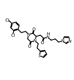 O=C(CC1C(=O)N(CCc2ccc(Cl)cc2Cl)CC(=O)N1CCc1cccs1)NCCCn1ccnc1